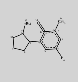 Cn1cc(F)cc(C2CCCN2C(C)(C)C)c1=O